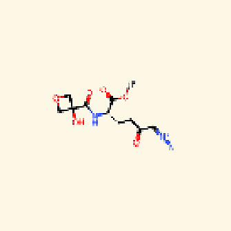 CC(C)OC(=O)[C@H](CCC(=O)C=[N+]=[N-])NC(=O)C1(O)COC1